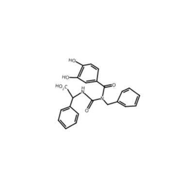 O=C(O)C(NC(=O)N(Cc1ccccc1)C(=O)c1ccc(O)c(O)c1)c1ccccc1